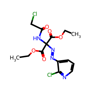 CCOC(=O)C(N=Nc1cccnc1Cl)(NC(=O)CCl)C(=O)OCC